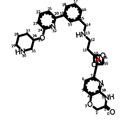 O=C1COc2ccc(N3CC4(CCNCc5cccc(-c6cccc(OC7CCCNC7)n6)c5)OC3O4)nc2N1